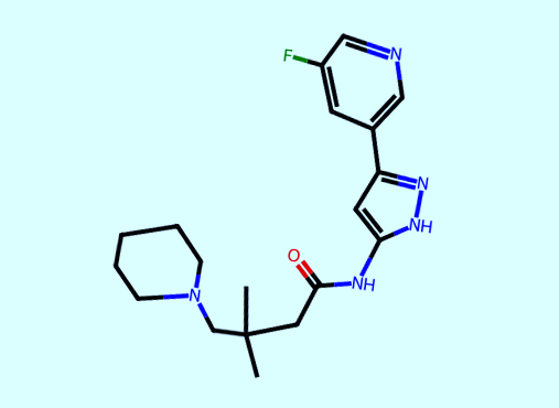 CC(C)(CC(=O)Nc1cc(-c2cncc(F)c2)n[nH]1)CN1CCCCC1